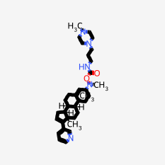 CN1CCN(CCCNC(=O)ON(C)C2C=C3CC[C@H]4[C@H](CC[C@]5(C)C(c6cccnc6)=CC[C@@H]45)[C@@]3(C)CC2)CC1